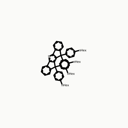 CCCCCCc1ccc(C2(c3ccc(CCCCCC)cc3)c3ccccc3-c3sc4c(c32)C(c2ccc(CCCCCC)cc2)(c2ccc(CCCCCC)cc2)c2ccccc2-4)cc1